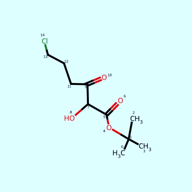 CC(C)(C)OC(=O)C(O)C(=O)CCCCl